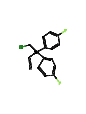 C=C[Si](CCl)(c1ccc(F)cc1)c1ccc(F)cc1